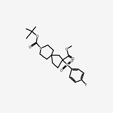 COC(=O)C1(S(=O)(=O)c2ccc(F)cc2)CCC2(CCN(C(=O)OC(C)(C)C)CC2)C1